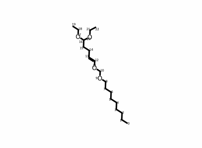 CCCCCCCCCOCOC=CCCC(OCC)OCC